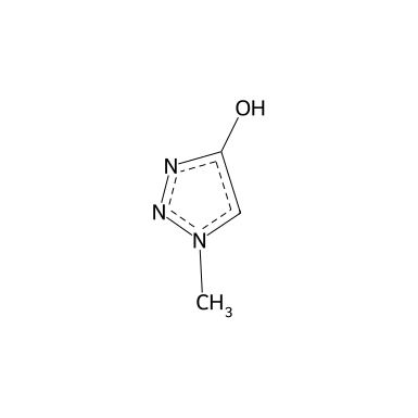 Cn1cc(O)nn1